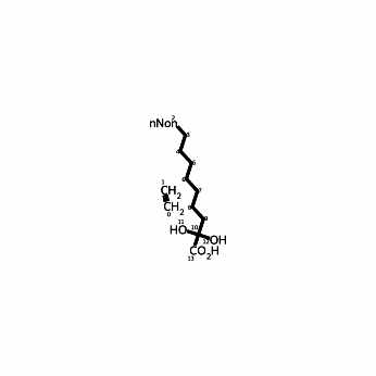 C=C.CCCCCCCCCCCCCCCCC(O)(O)C(=O)O